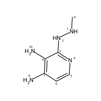 CNNc1nccc(N)c1N